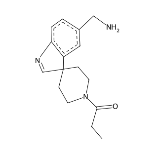 CCC(=O)N1CCC2(C=Nc3ccc(CN)cc32)CC1